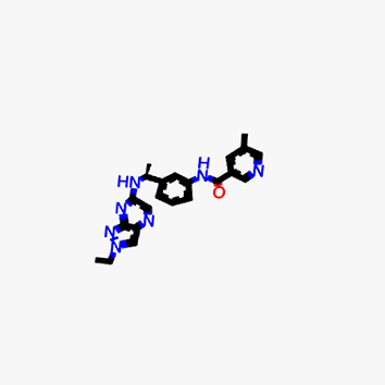 CCn1cc2ncc(N[C@@H](C)c3cccc(NC(=O)c4cncc(C)c4)c3)nc2n1